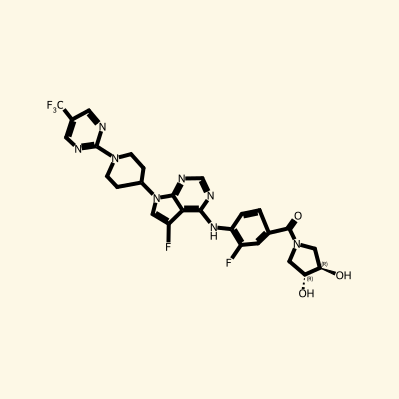 O=C(c1ccc(Nc2ncnc3c2c(F)cn3C2CCN(c3ncc(C(F)(F)F)cn3)CC2)c(F)c1)N1C[C@@H](O)[C@H](O)C1